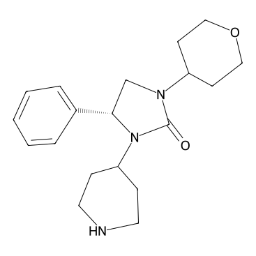 O=C1N(C2CCOCC2)C[C@@H](c2ccccc2)N1C1CCNCC1